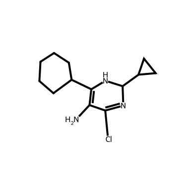 NC1=C(C2CCCCC2)NC(C2CC2)N=C1Cl